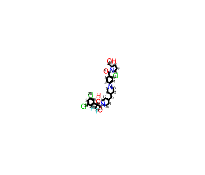 O=C(c1ccc(N2CCC(CC3CCN(C(=O)[C@](O)(c4cc(Cl)cc(Cl)c4)C(F)F)CC3)CC2)cc1Cl)N1CCC[C@@H]1CO